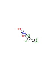 O=C1C(Cc2c(Cl)cc(-c3ccc(C(F)(F)F)cc3)cc2Cl)CCN1N1CCC(O)CC1